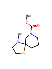 CC(=O)N1CCSC12CCCN(C(=O)OC(C)(C)C)C2